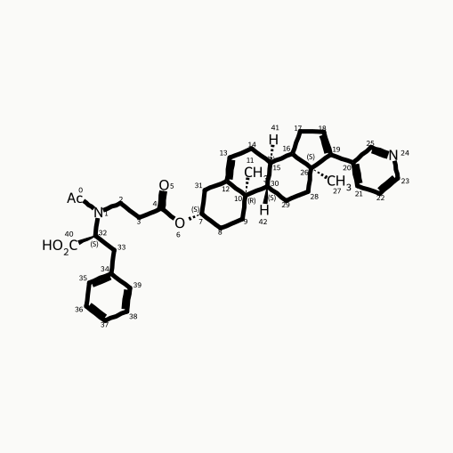 CC(=O)N(CCC(=O)O[C@H]1CC[C@@]2(C)C(=CC[C@H]3C4CC=C(c5cccnc5)[C@@]4(C)CC[C@@H]32)C1)[C@@H](Cc1ccccc1)C(=O)O